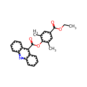 CCOC(=O)c1cc(C)c(OC(=O)c2c3ccccc3nc3ccccc23)c(C)c1